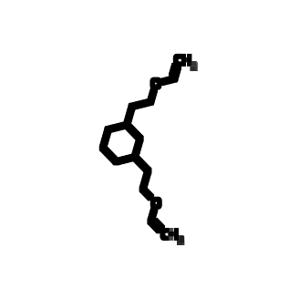 C=COCCC1CCCC(CCOC=C)C1